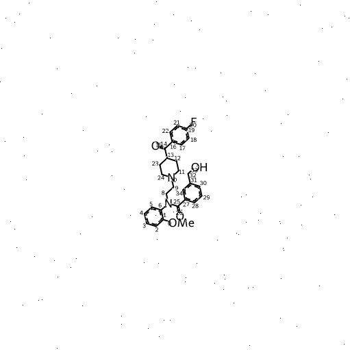 COc1ccccc1N(CCN1CCC(C(=O)c2ccc(F)cc2)CC1)C(=O)c1cccc(CO)c1